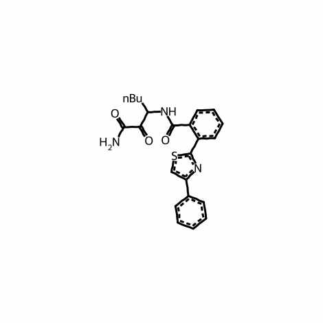 CCCCC(NC(=O)c1ccccc1-c1nc(-c2ccccc2)cs1)C(=O)C(N)=O